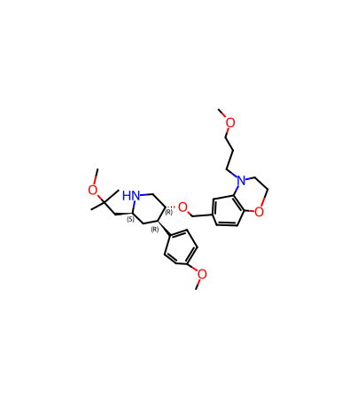 COCCCN1CCOc2ccc(CO[C@H]3CN[C@H](CC(C)(C)OC)C[C@@H]3c3ccc(OC)cc3)cc21